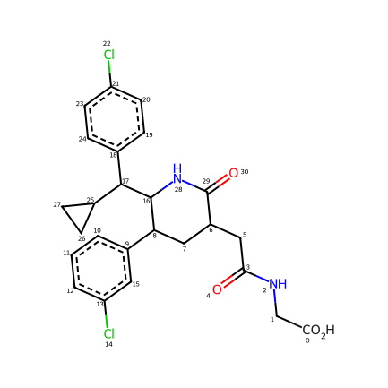 O=C(O)CNC(=O)CC1CC(c2cccc(Cl)c2)C(C(c2ccc(Cl)cc2)C2CC2)NC1=O